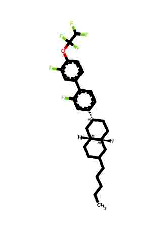 CCCCCC1CC[C@@H]2C[C@H](c3ccc(-c4ccc(OC(F)(F)C(F)F)c(F)c4)c(F)c3)CC[C@@H]2C1